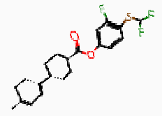 C[C@H]1CC[C@H]([C@H]2CC[C@H](C(=O)Oc3ccc(SC(F)F)c(F)c3)CC2)CC1